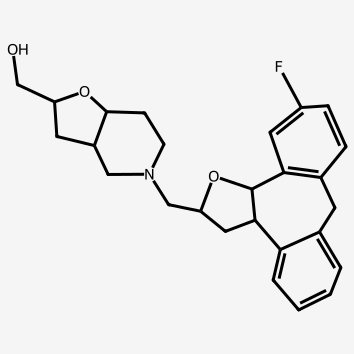 OCC1CC2CN(CC3CC4c5ccccc5Cc5ccc(F)cc5C4O3)CCC2O1